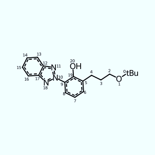 CC(C)(C)OCCCc1cccc(-n2nc3ccccc3n2)c1O